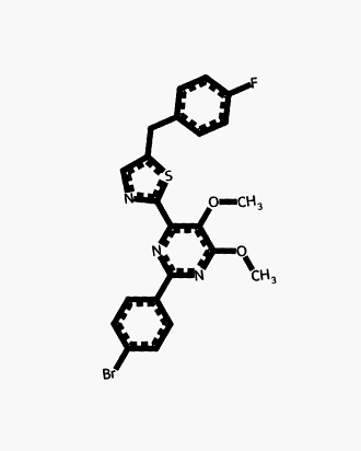 COc1nc(-c2ccc(Br)cc2)nc(-c2ncc(Cc3ccc(F)cc3)s2)c1OC